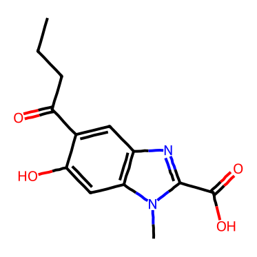 CCCC(=O)c1cc2nc(C(=O)O)n(C)c2cc1O